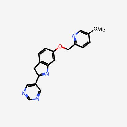 COc1ccc(COc2ccc3c(c2)N=C(c2cncnc2)C3)nc1